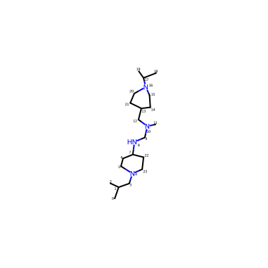 CC(C)CN1CCC(NCN(C)CC2CCN(C(C)C)CC2)CC1